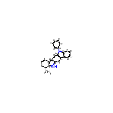 CC1CC=Cc2c1[nH]c1cc3c4ccccc4n(-c4ccccc4)c3cc21